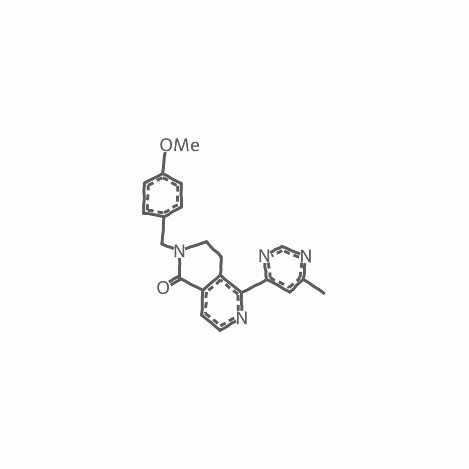 COc1ccc(CN2CCc3c(ccnc3-c3cc(C)ncn3)C2=O)cc1